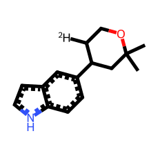 [2H]C1COC(C)(C)CC1c1ccc2[nH]ccc2c1